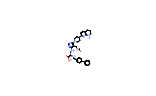 CCc1c(NC[C@H](NCc2ccc(-c3ccccc3)cc2)C(=O)O)ncnc1N1CCC(c2ccc3c(n2)NCCC3)CC1